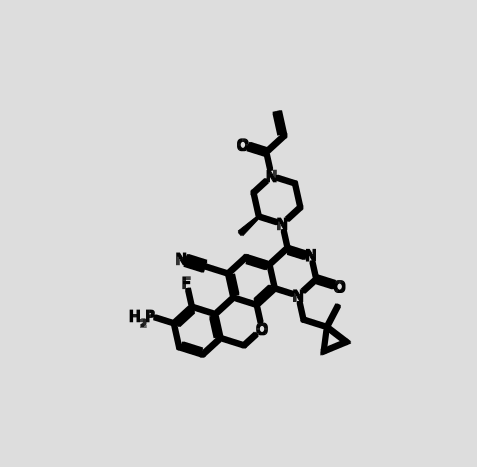 C=CC(=O)N1CCN(c2nc(=O)n(CC3(C)CC3)c3c4c(c(C#N)cc23)-c2c(ccc(P)c2F)CO4)[C@@H](C)C1